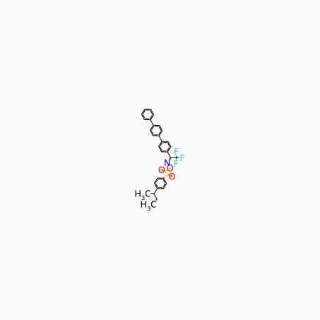 CCC(C)c1ccc(S(=O)(=O)ON=C(c2ccc(-c3ccc(-c4ccccc4)cc3)cc2)C(F)(F)F)cc1